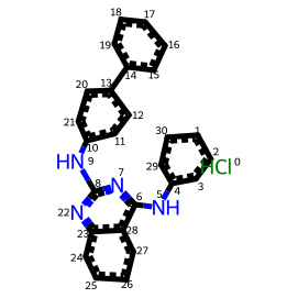 Cl.c1ccc(Nc2nc(Nc3ccc(-c4ccccc4)cc3)nc3ccccc23)cc1